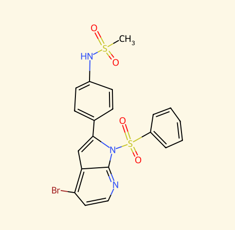 CS(=O)(=O)Nc1ccc(-c2cc3c(Br)ccnc3n2S(=O)(=O)c2ccccc2)cc1